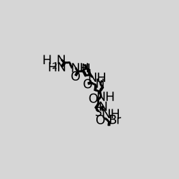 C=C(Br)C(=O)Nc1nc(C(=O)Nc2cc(C(=O)Nc3cc(C(=O)NCCC(=N)N)n(C)c3)n(C)c2)cs1